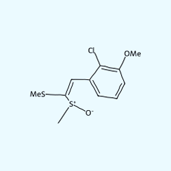 COc1cccc(C=C(SC)[S+](C)[O-])c1Cl